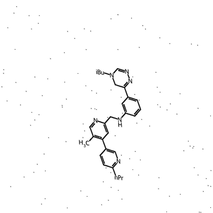 CCCc1ccc(-c2cc(CNc3cccc(C4=NN=CN(C(C)CC)C4)c3)ncc2C)cn1